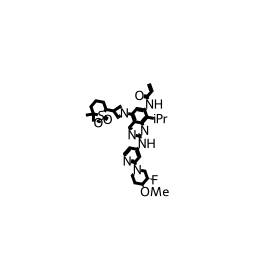 C=CC(=O)Nc1cc(N2CC(C3CCCC(C)(C)S3(=O)=O)C2)c2cnc(Nc3ccnc(N4CC[C@@H](OC)[C@@H](F)C4)c3)nc2c1C(C)C